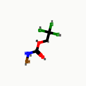 O=C(NS)OCC(Cl)(Cl)Cl